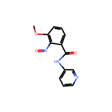 COc1cccc(C(=O)Nc2cccnc2)c1N=O